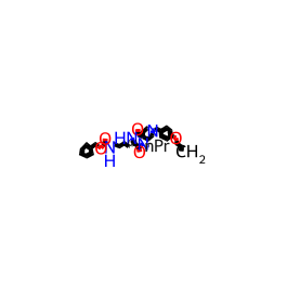 C=CCOc1ccc(CN2CCC3(CC2)C(=O)N[C@@H](CCCCNC(=O)OCc2ccccc2)C(=O)N3CCC)cc1